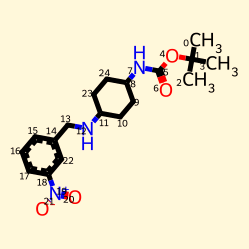 CC(C)(C)OC(=O)NC1CCC(NCc2cccc([N+](=O)[O-])c2)CC1